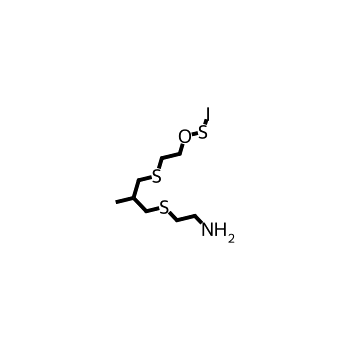 CC(CSCCN)CSCCOSI